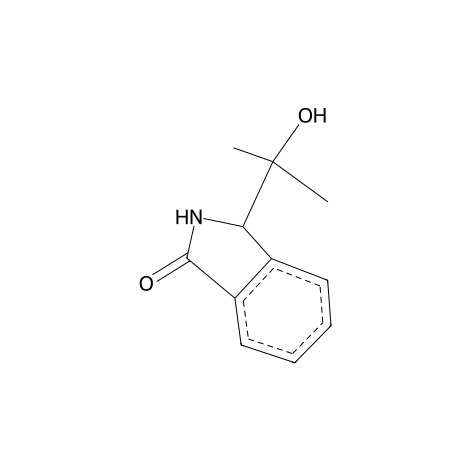 CC(C)(O)C1NC(=O)c2ccccc21